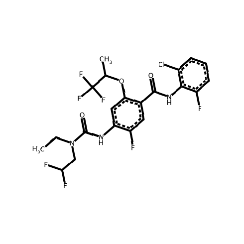 CCN(CC(F)F)C(=O)Nc1cc(OC(C)C(F)(F)F)c(C(=O)Nc2c(F)cccc2Cl)cc1F